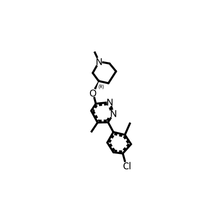 Cc1cc(Cl)ccc1-c1nnc(O[C@@H]2CCCN(C)C2)cc1C